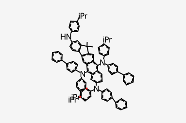 CC(C)c1ccc(Nc2ccc3c(c2)C(C)(C)c2cc4c(N(c5ccc(-c6ccccc6)cc5)c5ccc(C(C)C)cc5)c5ccc(N(c6ccc(-c7ccccc7)cc6)c6ccc(C(C)C)cc6)cc5c(N(c5ccc(-c6ccccc6)cc5)c5ccc(C(C)C)cc5)c4cc2-3)cc1